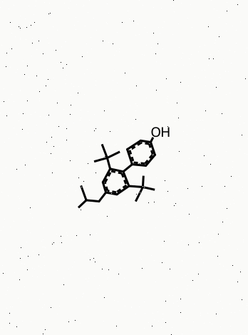 CC(C)Cc1cc(C(C)(C)C)c(-c2ccc(O)cc2)c(C(C)(C)C)c1